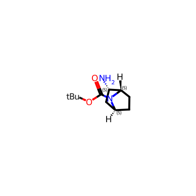 CC(C)(C)OC(=O)N1[C@H]2CC[C@H]1[C@@H](N)C2